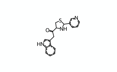 O=C(Cc1c[nH]c2ccccc12)C1CSC(c2cccnc2)N1